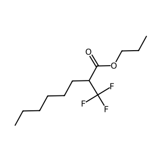 CCCCCCC(C(=O)OCCC)C(F)(F)F